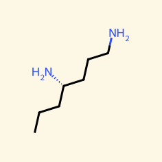 CCC[C@H](N)CCCN